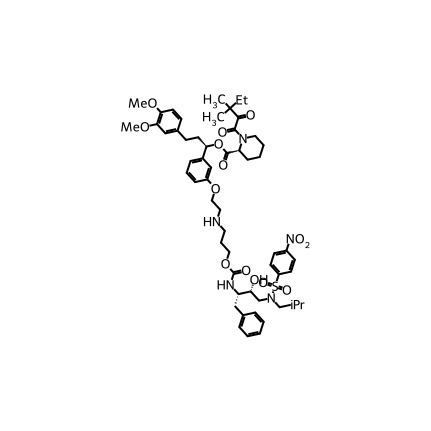 CCC(C)(C)C(=O)C(=O)N1CCCC[C@H]1C(=O)O[C@H](CCc1ccc(OC)c(OC)c1)c1cccc(OCCNCCCOC(=O)N[C@@H](Cc2ccccc2)[C@H](O)CN(CC(C)C)S(=O)(=O)c2ccc([N+](=O)[O-])cc2)c1